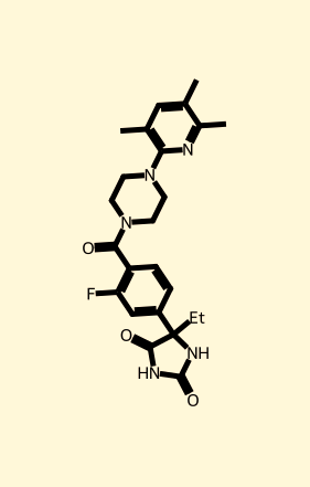 CCC1(c2ccc(C(=O)N3CCN(c4nc(C)c(C)cc4C)CC3)c(F)c2)NC(=O)NC1=O